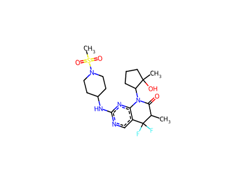 CC1C(=O)N(C2CCCC2(C)O)c2nc(NC3CCN(S(C)(=O)=O)CC3)ncc2C1(F)F